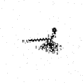 CCCCCCCCCCCCCCC(=O)N[C@@H](CCC(=O)OCc1ccccc1)C(=O)NC(CCC(=O)OC(C)(C)C)(CCC(=O)OC(C)(C)C)CCC(=O)OC(C)(C)C